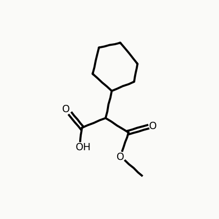 COC(=O)C(C(=O)O)C1CCCCC1